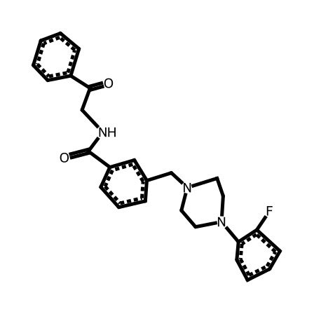 O=C(CNC(=O)c1cccc(CN2CCN(c3ccccc3F)CC2)c1)c1ccccc1